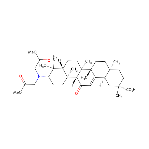 COC(=O)CN(CC(=O)OC)[C@H]1CC[C@]2(C)[C@H]3C(=O)C=C4[C@@H]5C[C@@](C)(C(=O)O)CC[C@]5(C)CC[C@@]4(C)[C@]3(C)CC[C@H]2C1(C)C